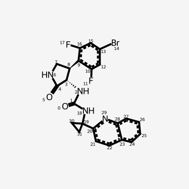 O=C(N[C@@H]1C(=O)NC[C@H]1c1c(F)cc(Br)cc1F)NC1(c2ccc3ccccc3n2)CC1